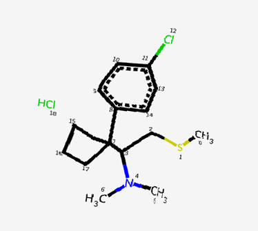 CSCC(N(C)C)C1(c2ccc(Cl)cc2)CCC1.Cl